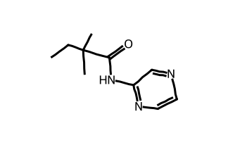 CCC(C)(C)C(=O)Nc1cnccn1